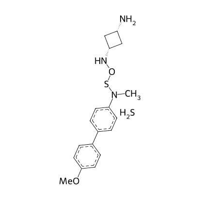 COc1ccc(-c2ccc(N(C)SON[C@H]3C[C@@H](N)C3)cc2)cc1.S